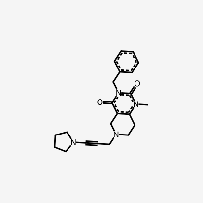 Cn1c2c(c(=O)n(Cc3ccccc3)c1=O)CN(CC#CN1CCCC1)CC2